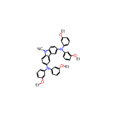 CCOc1cccc(N(c2cccc(OCC)c2)c2ccc3c(c2)c2cc(N(c4cccc(OCC)c4)c4cccc(OCC)c4)ccc2n3C#N)c1